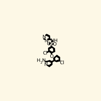 Nc1cc(-c2cc(Cl)ccc2Oc2ccc(S(=O)(=O)Nc3ccncn3)cc2Cl)ccn1